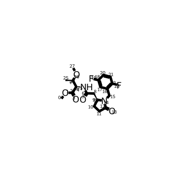 COC(=O)[C@@H](NC(=O)C[C@@H]1CCC(=O)N1Cc1cc(F)ccc1F)[C@@H](C)OC